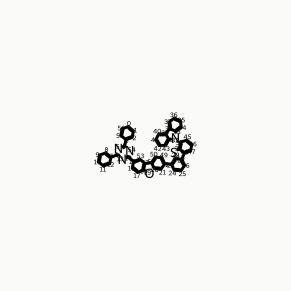 c1ccc(-c2nc(-c3ccccc3)nc(-c3ccc4oc5cc(-c6cccc7c6sc6c(-n8c9ccccc9c9ccccc98)cccc67)ccc5c4c3)n2)cc1